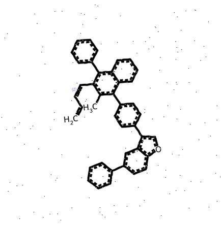 C=C/C=C\c1c(C)c(-c2ccc(-c3coc4ccc(-c5ccccc5)cc34)cc2)c2ccccc2c1-c1ccccc1